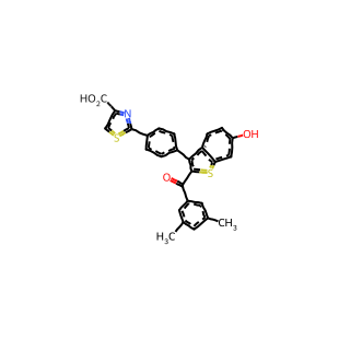 Cc1cc(C)cc(C(=O)c2sc3cc(O)ccc3c2-c2ccc(-c3nc(C(=O)O)cs3)cc2)c1